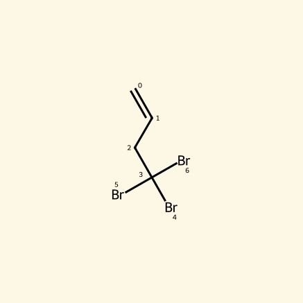 C=CCC(Br)(Br)Br